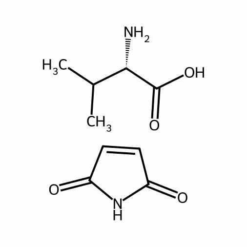 CC(C)[C@H](N)C(=O)O.O=C1C=CC(=O)N1